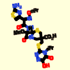 CCCON=C(C(=O)NC1(OC)C(=O)N2CC(CSc3nnc(O)c(=O)n3C(C)C)(C(=O)O)CS[C@@H]21)c1csc(N)n1